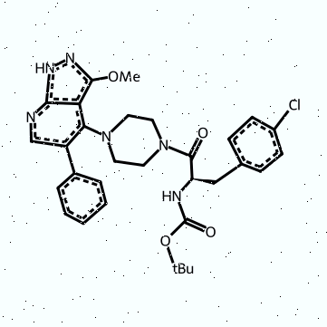 COc1n[nH]c2ncc(-c3ccccc3)c(N3CCN(C(=O)[C@@H](Cc4ccc(Cl)cc4)NC(=O)OC(C)(C)C)CC3)c12